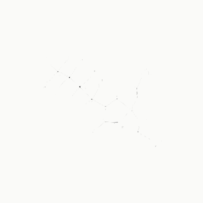 CCO[Si](CCC(F)(F)C(F)(F)C(F)(F)C(F)(F)F)(OCC)OCC